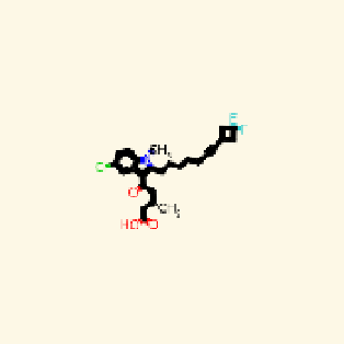 C[C@H](CC(=O)O)CC(=O)c1c(CCCCCC#CC2CC(F)(F)C2)n(C)c2ccc(Cl)cc12